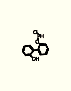 Oc1ccccc1-c1ccccc1OPCl